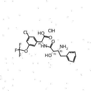 Cl.N[C@H](Cc1ccccc1)[C@H](O)C(=O)N[C@@H](C(=O)O)c1cc(Cl)cc(OC(F)(F)F)c1